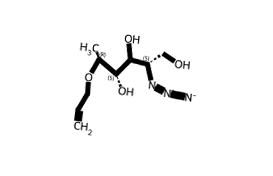 C=CCO[C@H](C)[C@@H](O)C(O)[C@H](CO)N=[N+]=[N-]